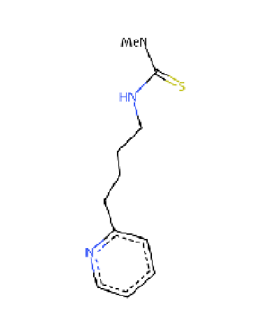 CNC(=S)NCCCCc1ccccn1